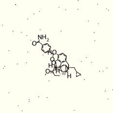 CO[C@]12CC[C@@]3(C[C@@H]1COCc1ccc(C(N)=O)cc1)[C@H]1Cc4ccc(O)c5c4[C@@]3(CCN1CC1CC1)[C@H]2O5